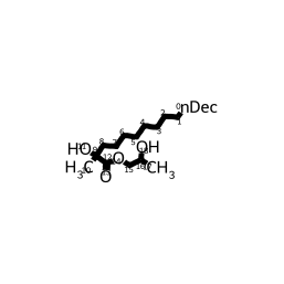 CCCCCCCCCCCCCCCCCCC(C)(O)C(=O)OCC(C)O